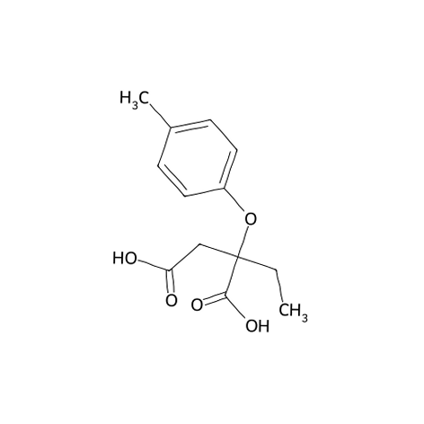 CCC(CC(=O)O)(Oc1ccc(C)cc1)C(=O)O